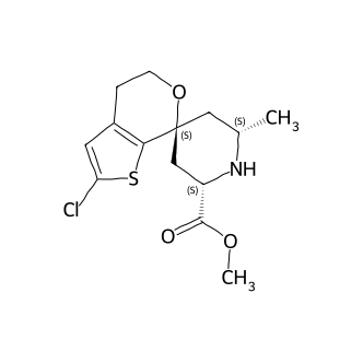 COC(=O)[C@@H]1C[C@]2(C[C@H](C)N1)OCCc1cc(Cl)sc12